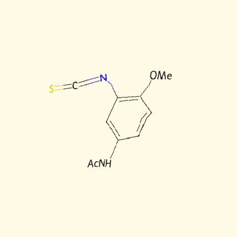 COc1ccc(NC(C)=O)cc1N=C=S